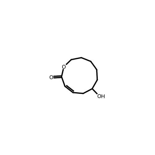 O=C1C=CCC(O)CCCCCO1